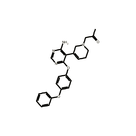 CC(=O)CN1CCC=C(c2c(N)ncnc2Oc2ccc(Oc3ccccc3)cc2)C1